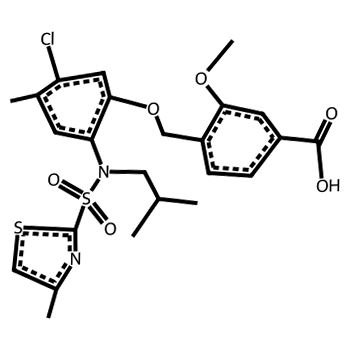 COc1cc(C(=O)O)ccc1COc1cc(Cl)c(C)cc1N(CC(C)C)S(=O)(=O)c1nc(C)cs1